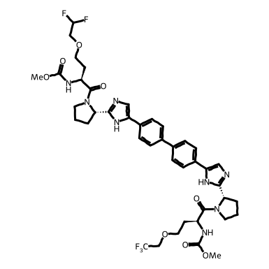 COC(=O)N[C@@H](CCOCC(F)F)C(=O)N1CCC[C@H]1c1ncc(-c2ccc(-c3ccc(-c4cnc([C@@H]5CCCN5C(=O)[C@H](CCOCC(F)(F)F)NC(=O)OC)[nH]4)cc3)cc2)[nH]1